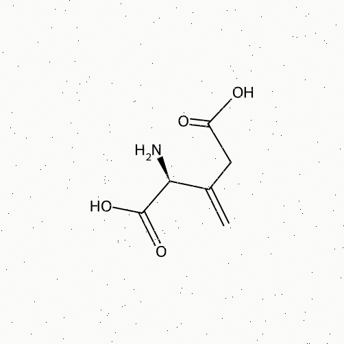 C=C(CC(=O)O)[C@H](N)C(=O)O